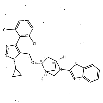 Clc1cccc(Cl)c1-c1nnn(C2CC2)c1CO[C@@H]1C[C@@H]2C[C@H]1CN2c1nc2ccccc2s1